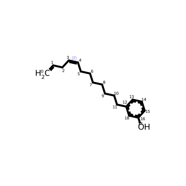 C=CC/C=C\CCCCCCCc1cccc(O)c1